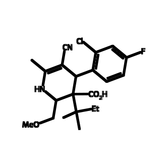 CCC(C)(C)C1(C(=O)O)C(COC)NC(C)=C(C#N)C1c1ccc(F)cc1Cl